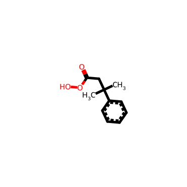 CC(C)(CC(=O)OO)c1ccccc1